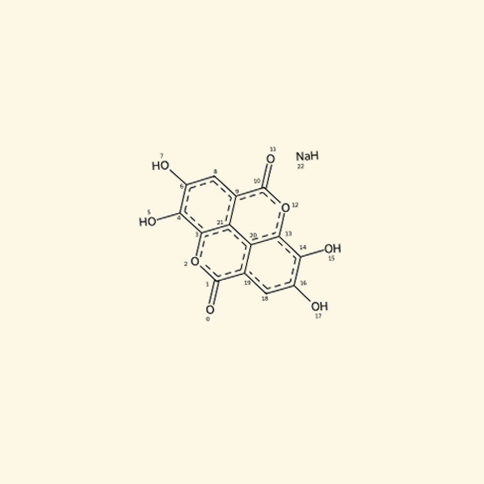 O=c1oc2c(O)c(O)cc3c(=O)oc4c(O)c(O)cc1c4c23.[NaH]